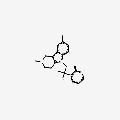 Cc1ccc2c(c1)c1c(n2CC(C)(O)c2ccc[nH]c2=O)CCN(C)C1